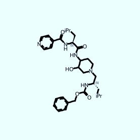 CC(C)C[C@@H](CN1CCC(NC(=O)[C@H](CC(C)C)NC(=O)c2ccncc2)C(O)C1)NC(=O)OCc1ccccc1